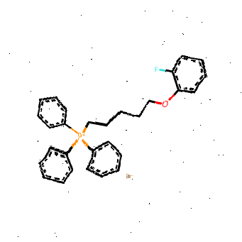 Fc1ccccc1OCCCCC[P+](c1ccccc1)(c1ccccc1)c1ccccc1.[Br-]